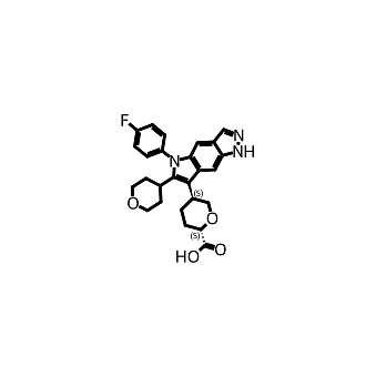 O=C(O)[C@@H]1CC[C@@H](c2c(C3CCOCC3)n(-c3ccc(F)cc3)c3cc4cn[nH]c4cc23)CO1